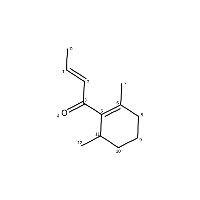 CC=CC(=O)C1=C(C)CCCC1C